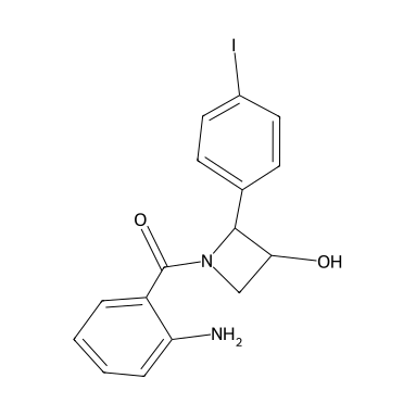 Nc1ccccc1C(=O)N1CC(O)C1c1ccc(I)cc1